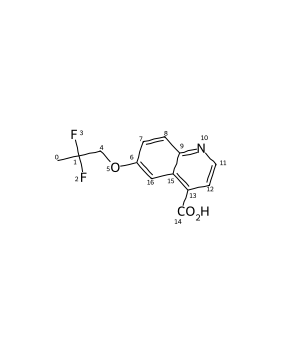 CC(F)(F)COc1ccc2nccc(C(=O)O)c2c1